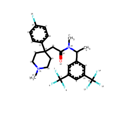 CC(c1cc(C(F)(F)F)cc(C(F)(F)F)c1)N(C)C(=O)CC1(c2ccc(F)cc2)CCN(C)CC1